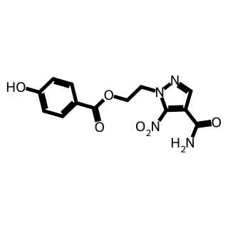 NC(=O)c1cnn(CCOC(=O)c2ccc(O)cc2)c1[N+](=O)[O-]